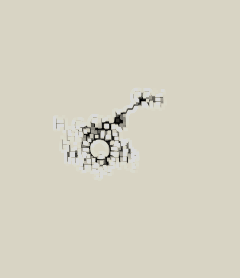 CCC1OC(=O)[C@H](C)[C@H](O)[C@H](C)[C@@H](OC2C[C@@H](N(C)Cc3ccc(-c4cn(CCCCCCC(=O)NO)nn4)cc3)C[C@@H](C)O2)[C@@](C)(OC)C[C@@H](C)C(=O)[C@H](C)[C@@H](O)[C@]1(C)O